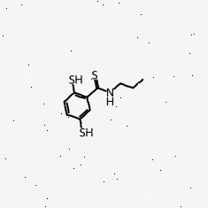 CCCNC(=S)c1cc(S)ccc1S